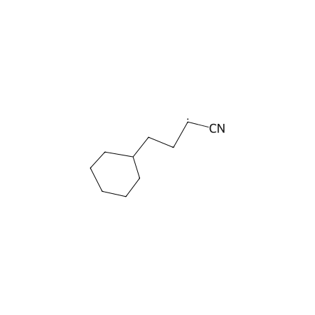 N#C[CH]CCC1CCCCC1